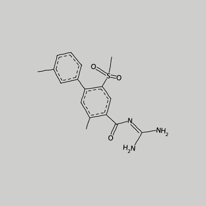 Cc1cccc(-c2cc(C)c(C(=O)N=C(N)N)cc2S(C)(=O)=O)c1